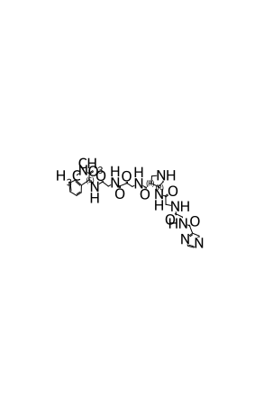 CN(C)C(=O)[C@@H](NC(=O)CNC(=O)C(=O)CNC(=O)[C@@H]1CNC[C@@H]1NC(=O)CNC(=O)CNC(=O)c1cnccn1)c1ccccc1